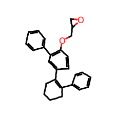 c1ccc(C2=C(c3ccc(OCC4CO4)c(-c4ccccc4)c3)CCCC2)cc1